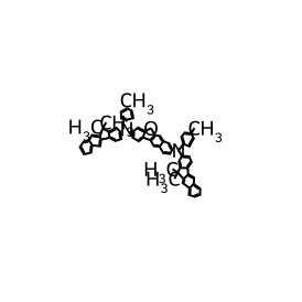 Cc1ccc(N(c2ccc3c(c2)C(C)(C)c2cc4ccccc4cc2-3)c2ccc3cc4c(cc3c2)oc2cc(N(c3ccc(C)cc3)c3ccc5c(c3)C(C)(C)c3cc6ccccc6cc3-5)ccc24)cc1